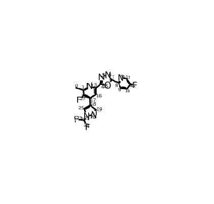 Cc1nc(-c2nnc(-c3ccc(F)cn3)o2)cc(-c2cnn(C(F)F)c2)c1F